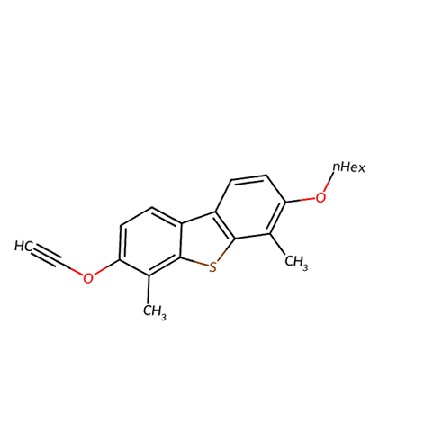 C#COc1ccc2c(sc3c(C)c(OCCCCCC)ccc32)c1C